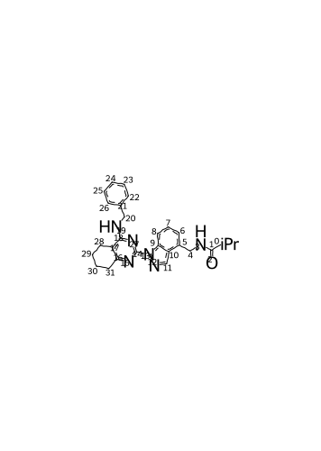 CC(C)C(=O)NCc1cccc2c1cnn2-c1nc2c(c(NCc3ccccc3)n1)CCCC2